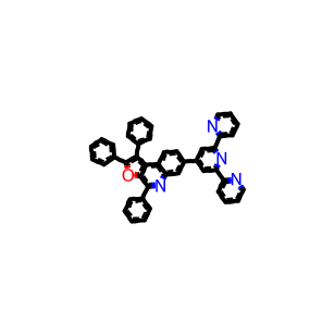 c1ccc(-c2oc3c(-c4ccccc4)nc4cc(-c5cc(-c6ccccn6)nc(-c6ccccn6)c5)ccc4c3c2-c2ccccc2)cc1